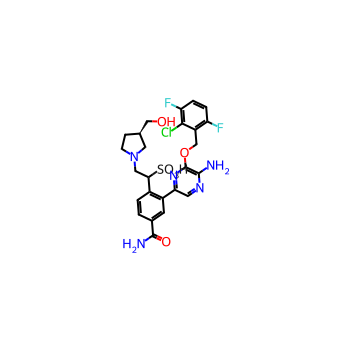 NC(=O)c1ccc(C(CN2CC[C@@H](CO)C2)S(=O)(=O)O)c(-c2cnc(N)c(OCc3c(F)ccc(F)c3Cl)n2)c1